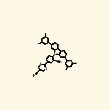 Cc1cc(C)cc(-c2ccc3c4ccc(-c5cc(C)cc(C)c5)cc4n(-c4ccc(-c5ncc(C#N)cn5)cc4C#N)c3c2)c1